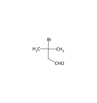 CC(C)(Br)CC=O